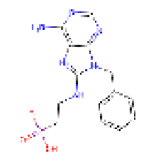 Nc1ncnc2c1nc(NCCP(=O)(O)O)n2Cc1ccccc1